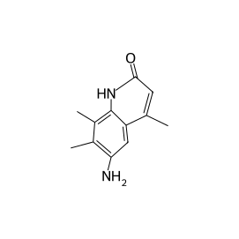 Cc1c(N)cc2c(C)cc(=O)[nH]c2c1C